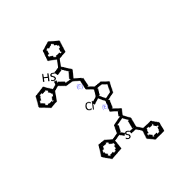 ClC1=C(/C=C/C2=CC(c3ccccc3)=[SH]C(c3ccccc3)=C2)CCC/C1=C\C=C1C=C(c2ccccc2)SC(c2ccccc2)=C1